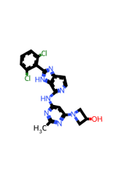 Cc1nc(Nc2nccc3nc(-c4c(Cl)cccc4Cl)[nH]c23)cc(N2CC(O)C2)n1